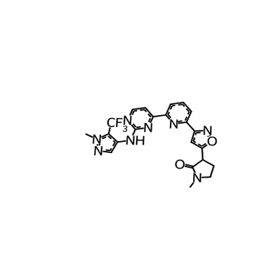 CN1CCC(c2cc(-c3cccc(-c4ccnc(Nc5cnn(C)c5C(F)(F)F)n4)n3)no2)C1=O